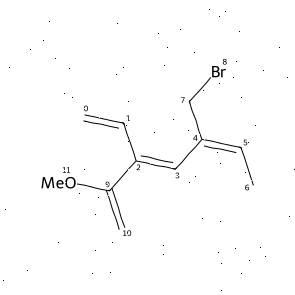 C=C/C(=C\C(=C/C)CBr)C(=C)OC